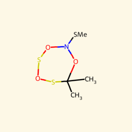 CSN1OSOSC(C)(C)O1